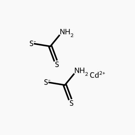 NC(=S)[S-].NC(=S)[S-].[Cd+2]